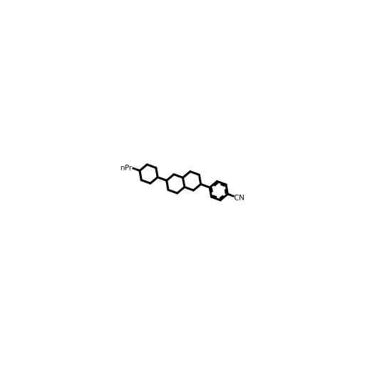 CCCC1CCC(C2CCC3CC(c4ccc(C#N)cc4)CCC3C2)CC1